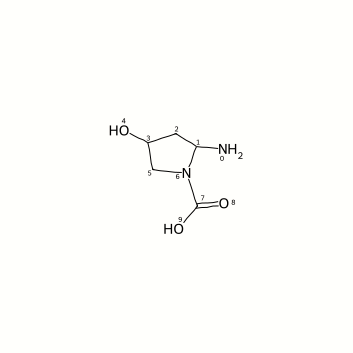 NC1CC(O)CN1C(=O)O